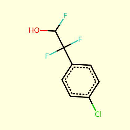 OC(F)C(F)(F)c1ccc(Cl)cc1